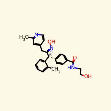 Cc1cc(C/C(=N\O)[C@H](c2ccc(C(=O)NCCO)cc2)c2ccccc2C)ccn1